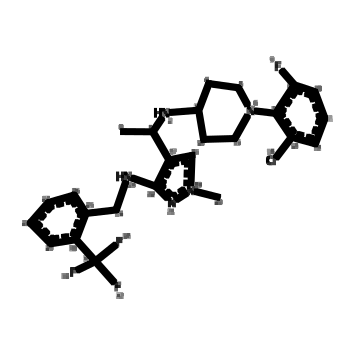 CC(NC1CCN(c2c(F)cccc2Cl)CC1)c1cn(C)nc1NCc1ccccc1C(F)(F)F